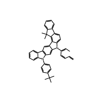 C=C/C=C\C(=C/C)n1c2cc3c(cc2c2c4c(ccc21)-c1ccccc1C4(C)C)c1ccccc1n3-c1ccc(C(C)(C)C)cc1